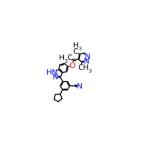 Cc1cnnc(C)c1[C@@H](C)Oc1ccc2[nH]nc(-c3cc(C#N)cc(C4CCCC4)c3)c2c1